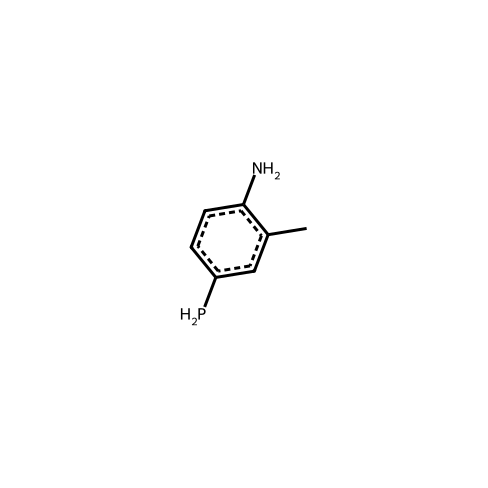 Cc1cc(P)ccc1N